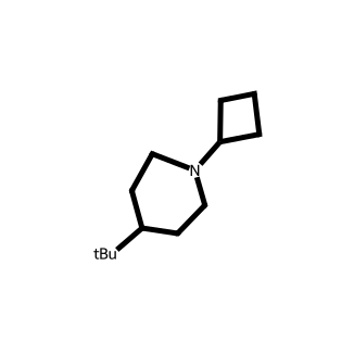 CC(C)(C)C1CCN(C2CCC2)CC1